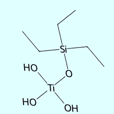 CC[Si](CC)(CC)[O][Ti]([OH])([OH])[OH]